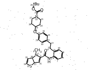 CN1C(C(=O)Nc2ccccc2CCc2ccc(OC3CCN(C(=O)OC(C)(C)C)CC3)cc2)=CC2SC=CC21